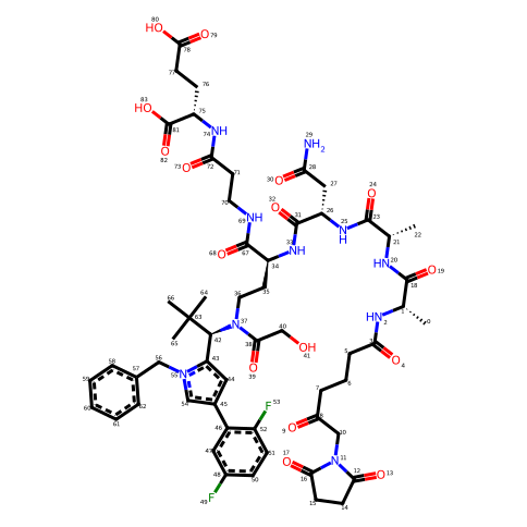 C[C@H](NC(=O)CCCC(=O)CN1C(=O)CCC1=O)C(=O)N[C@@H](C)C(=O)N[C@@H](CC(N)=O)C(=O)N[C@@H](CCN(C(=O)CO)[C@@H](c1cc(-c2cc(F)ccc2F)cn1Cc1ccccc1)C(C)(C)C)C(=O)NCCC(=O)N[C@@H](CCC(=O)O)C(=O)O